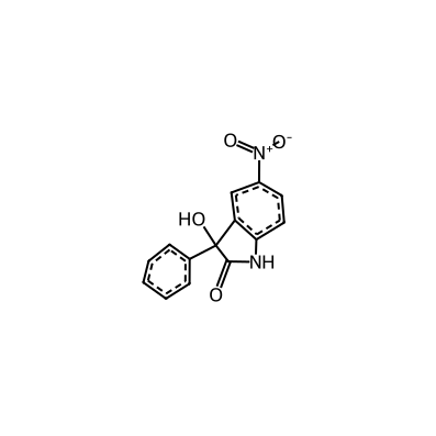 O=C1Nc2ccc([N+](=O)[O-])cc2C1(O)c1ccccc1